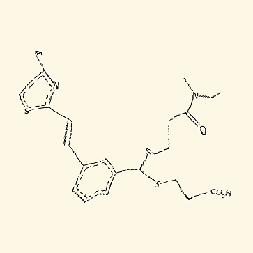 CC(C)c1csc(C=Cc2cccc(C(SCCC(=O)O)SCCC(=O)N(C)C)c2)n1